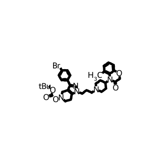 Cc1cccc2c1N(C1CCN(CCCn3nc(-c4ccc(Br)cc4)c4c3CCN(OC(=O)OC(C)(C)C)C4)CC1)C(=O)CO2